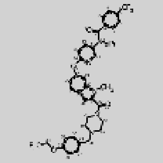 CC(C)N(C(=O)c1ccc(C(F)(F)F)cc1)c1ccc(Oc2ccc3cc(C(=O)N4CCN(Cc5ccc(OCC(F)(F)F)cc5)CC4)n(C)c3c2)nc1